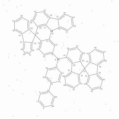 c1ccc(-c2ccc(N(c3ccc4c(c3)-n3c5ccccc5c5cccc(c53)C43c4ccccc4-c4ccccc43)c3cccc4c3-c3ccccc3C43c4ccccc4-c4ccccc43)cc2)cc1